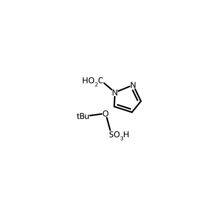 CC(C)(C)OS(=O)(=O)O.O=C(O)n1cccn1